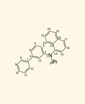 CC(C)N(c1cccc(-c2ccccc2)c1)c1cccc2ccccc12